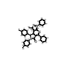 Cc1ccc(C2c3c(c(-c4ccccc4)nc4c3c(C)nn4-c3ccccc3)C(=O)N2c2ccc(C)cc2)cc1